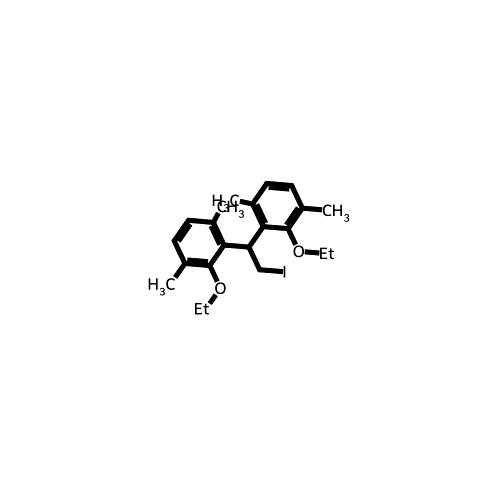 CCOc1c(C)ccc(C)c1C(CI)c1c(C)ccc(C)c1OCC